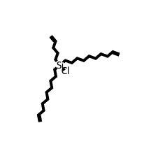 C=CCCCCCCCC[Si](Cl)(CCCC=C)CCCCCCCCC=C